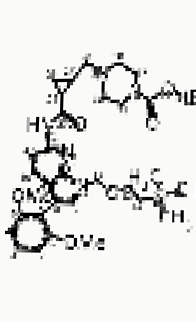 COc1cccc(OC)c1-c1cn(COCC[Si](C)(C)C)c2nc(NC(=O)C3CC3CN3CCN(C(=O)OC(C)(C)C)CC3)ccc12